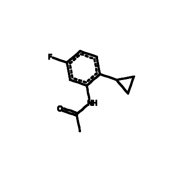 CC(=O)Nc1cc(F)ccc1C1CC1